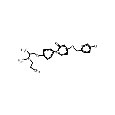 CCCN(C)C(C)COc1ccc(-n2ccc(OCc3ccc(Cl)cn3)cc2=O)cc1